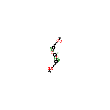 C=C(C)C(=O)OCCCCc1ccc(C(F)(F)Oc2ccc(OC(F)(F)c3ccc(CCCCOC(=O)C(=C)C)cc3F)c(F)c2)c(F)c1